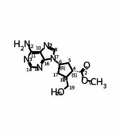 COC(=O)[C@H]1C[C@H](n2cnc3c(N)ncnc32)C[C@@H]1CO